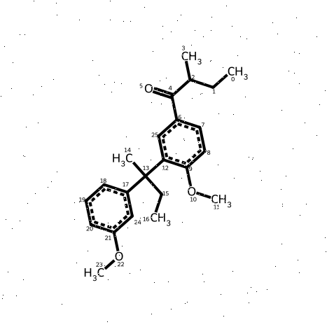 CCC(C)C(=O)c1ccc(OC)c(C(C)(CC)c2cccc(OC)c2)c1